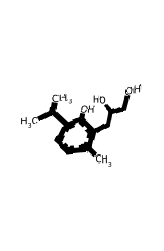 Cc1ccc(C(C)C)c(O)c1CC(O)CO